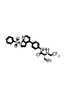 CC(C)C[C@@H](NCC(F)(F)F)C(=O)Nc1ccc(-c2ccnc3c2ccn3S(=O)(=O)c2ccccc2)cc1